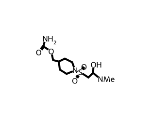 CNC(O)CS(=O)(=O)N1CCC(COC(N)=O)CC1